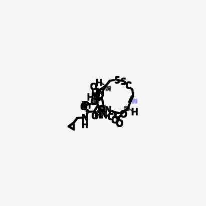 CC(C)[C@H]1NC(=O)[C@H]2CSSCC/C=C/[C@H](CC(=O)N[C@H](CCC(=O)NCC3CC3)C(=O)N2)OC(=O)CNC1=O